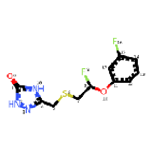 O=c1[nH]nc(CSCC(F)Oc2cccc(F)c2)[nH]1